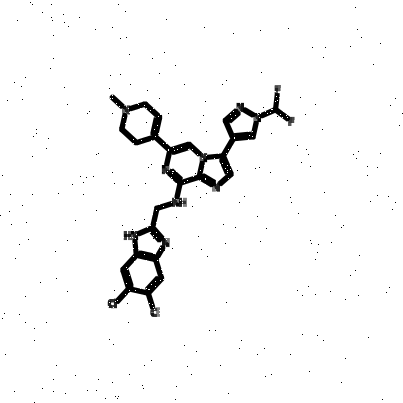 CN1CC=C(c2cn3c(-c4cnn(C(F)F)c4)cnc3c(NCc3nc4cc(Cl)c(Cl)cc4[nH]3)n2)CC1